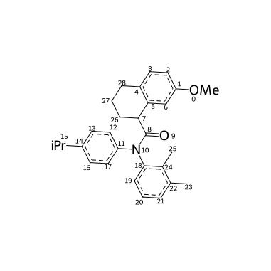 COc1ccc2c(c1)C(C(=O)N(c1ccc(C(C)C)cc1)c1cccc(C)c1C)CCC2